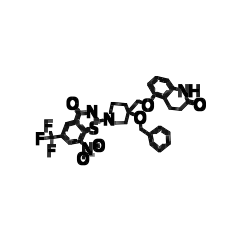 O=C1CCc2c(cccc2OCC2(OCc3ccccc3)CCN(c3nc(=O)c4cc(C(F)(F)F)cc([N+](=O)[O-])c4s3)CC2)N1